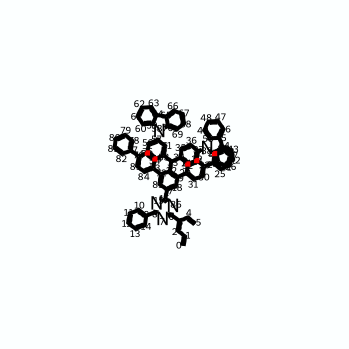 C=C/C=C(\C=C)c1nc(-c2ccccc2)nc(-c2cc(-c3ccc(-c4ccccc4)cc3)c(C(c3ccc(-n4c5ccccc5c5ccccc54)cc3)c3cccc(-n4c5ccccc5c5ccccc54)c3)c(-c3ccc(-c4ccccc4)cc3)c2)n1